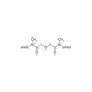 CCCCCCN(C)C(=O)COCC(=O)N(C)CCCCCC